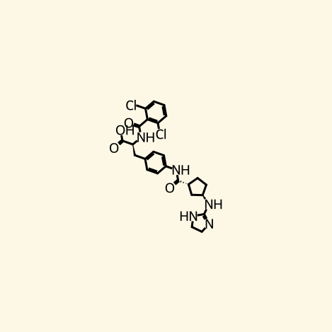 O=C(N[C@@H](Cc1ccc(NC(=O)[C@@H]2CC[C@@H](NC3=NCCN3)C2)cc1)C(=O)O)c1c(Cl)cccc1Cl